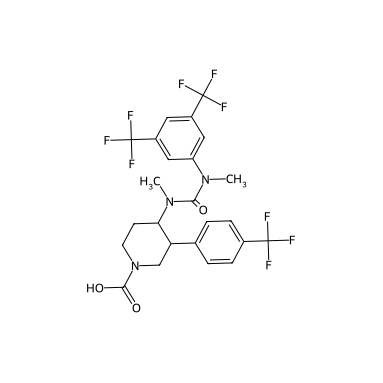 CN(C(=O)N(C)C1CCN(C(=O)O)CC1c1ccc(C(F)(F)F)cc1)c1cc(C(F)(F)F)cc(C(F)(F)F)c1